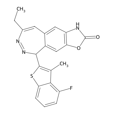 CCC1=Cc2cc3[nH]c(=O)oc3cc2C(c2sc3cccc(F)c3c2C)N=N1